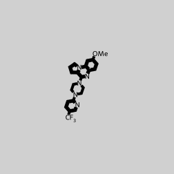 COc1ccc2nc(N3CCN(c4ccc(C(F)(F)F)cn4)CC3)c3cccn3c2c1